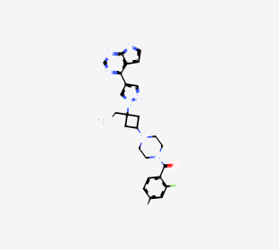 N#CCC1(n2cc(-c3ncnc4[nH]ccc34)cn2)CC(N2CCN(C(=O)c3ccc(C(F)(F)F)cc3F)CC2)C1